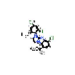 CCC(OC(C)=O)c1ccc(Cl)c2nc3n(c12)CCN3C1C(Cl)=CC(Cl)=CC1C